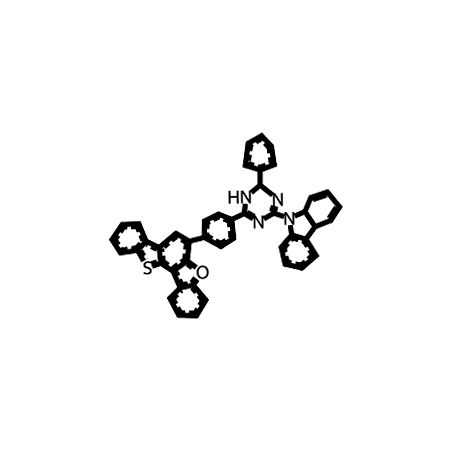 C1=CC2c3ccccc3N(C3=NC(c4ccccc4)NC(c4ccc(-c5cc6c7ccccc7sc6c6c5oc5ccccc56)cc4)=N3)C2C=C1